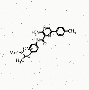 COP(OC)C(C)Sc1ccc(NC(=O)c2nc(-c3ccc(C)cc3)cnc2N)cc1